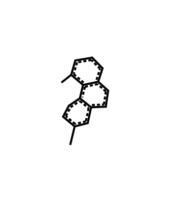 Cc1ccc2c(ccc3cccc(C)c32)c1